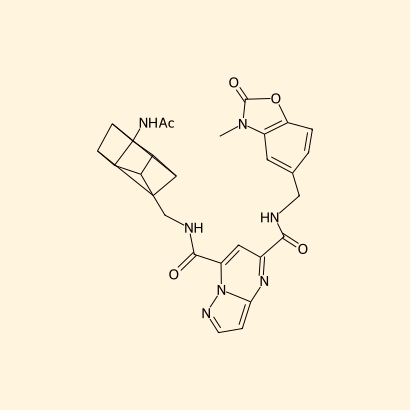 CC(=O)NC12C3C4C1C1C2C3C41CNC(=O)c1cc(C(=O)NCc2ccc3oc(=O)n(C)c3c2)nc2ccnn12